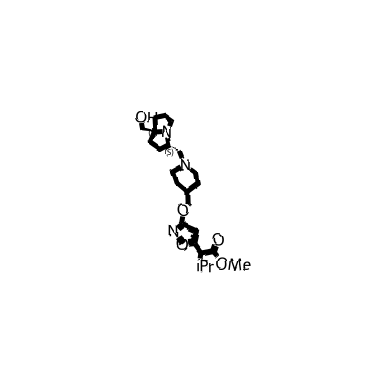 COC(=O)C(c1cc(OCC2CCN(C[C@@H]3CC[C@]4(CO)CCCN34)CC2)no1)C(C)C